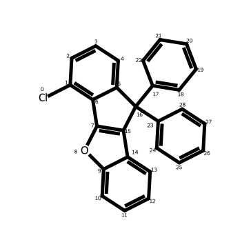 Clc1cccc2c1-c1oc3ccccc3c1C2(c1ccccc1)c1ccccc1